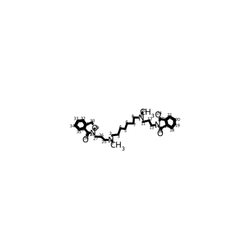 CN(CCCCCCCN(C)CCCN1C(=O)c2ccccc2C1=O)CCCN1OCc2ccccc2C1=O